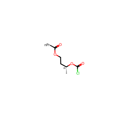 CCCC(=O)OCC[C@@H](C)OC(=O)Cl